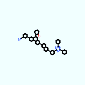 N#Cc1cccc(-c2ccc3c4ccc(-c5ccc6cc(-c7cccc(-c8nc(-c9ccccc9)nc(-c9ccccc9)n8)c7)ccc6c5)cc4c4oc5ccccc5c4c3c2)c1